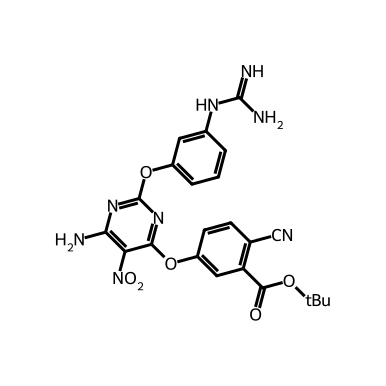 CC(C)(C)OC(=O)c1cc(Oc2nc(Oc3cccc(NC(=N)N)c3)nc(N)c2[N+](=O)[O-])ccc1C#N